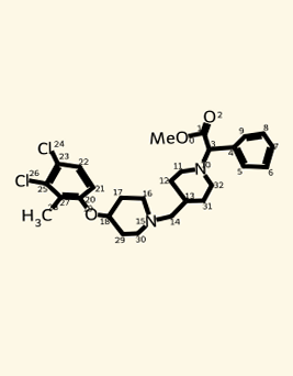 COC(=O)C(c1ccccc1)N1CCC(CN2CCC(Oc3ccc(Cl)c(Cl)c3C)CC2)CC1